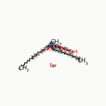 CCCCCCCCC=CCCCCCCCCOCC(C[N+](CC)(CC)CCOCCOCCOCCO)OCCCCCCCCC=CCCCCCCCC.[Br-]